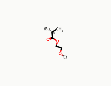 CCOCCOC(=O)[C@@H](C)C(C)(C)C